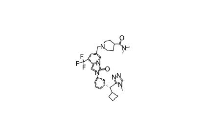 CN(C)C(=O)C1CCN(Cc2cc(C(F)(F)F)c3cn(-c4cccc([C@H](c5nncn5C)C5CCC5)c4)c(=O)n3c2)CC1